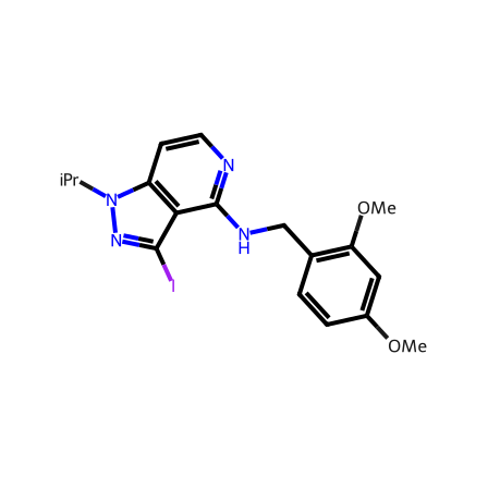 COc1ccc(CNc2nccc3c2c(I)nn3C(C)C)c(OC)c1